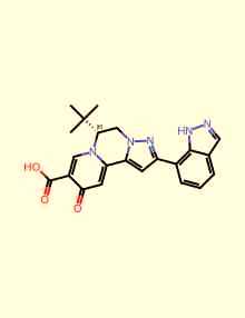 CC(C)(C)[C@@H]1Cn2nc(-c3cccc4cn[nH]c34)cc2-c2cc(=O)c(C(=O)O)cn21